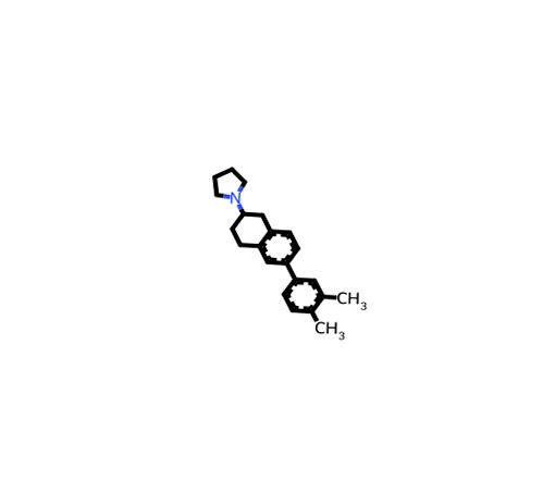 Cc1ccc(-c2ccc3c(c2)CCC(N2CCCC2)C3)cc1C